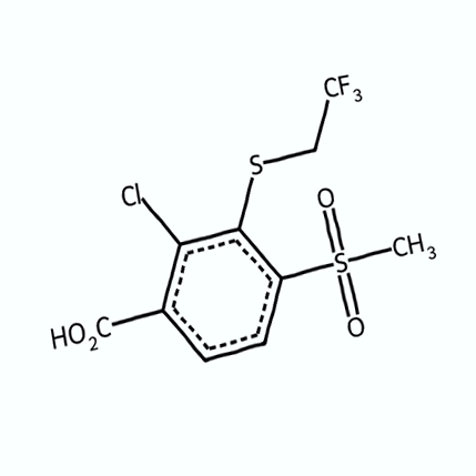 CS(=O)(=O)c1ccc(C(=O)O)c(Cl)c1SCC(F)(F)F